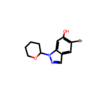 Oc1cc2c(cnn2C2CCCCO2)cc1Br